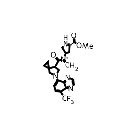 C=[N+](C(=O)C1CN(c2ccc(C(F)(F)F)c3nccnc23)CC12CC2)C1CN[C@@H](C(=O)OC)C1